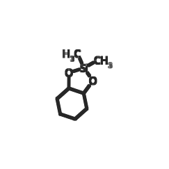 C[Si]1(C)OC2CCCCC2O1